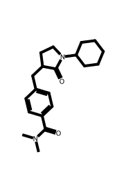 CN(C)C(=O)c1ccc(CC2CCN(C3CCCCC3)C2=O)cc1